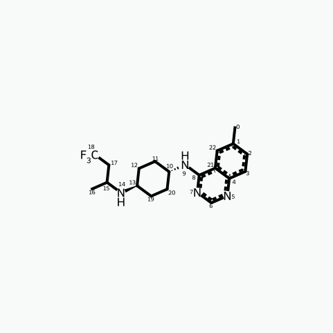 Cc1ccc2ncnc(N[C@H]3CC[C@H](NC(C)CC(F)(F)F)CC3)c2c1